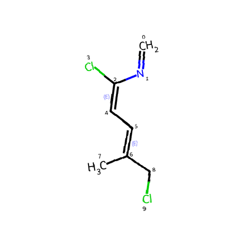 C=N/C(Cl)=C\C=C(/C)CCl